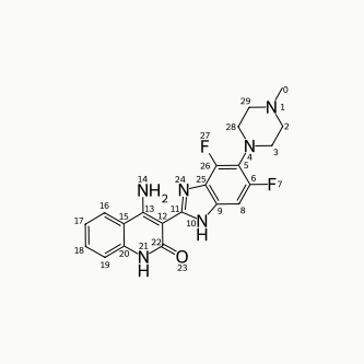 CN1CCN(c2c(F)cc3[nH]c(-c4c(N)c5ccccc5[nH]c4=O)nc3c2F)CC1